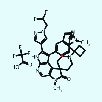 CN1C(=O)C2(CCN(C3(CC#N)CCC3)CC2)c2c1cnc1[nH]c(-c3cnn(CC(F)F)c3)c(-c3ccc4c(cnn4C)c3)c21.O=C(O)C(F)(F)F